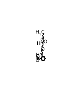 CCCCOC(=O)NCCOCCNc1ccccc1[N+](=O)[O-]